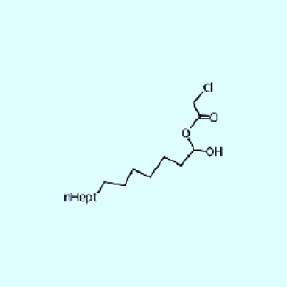 CCCCCCCCCCCCCC(O)OC(=O)CCl